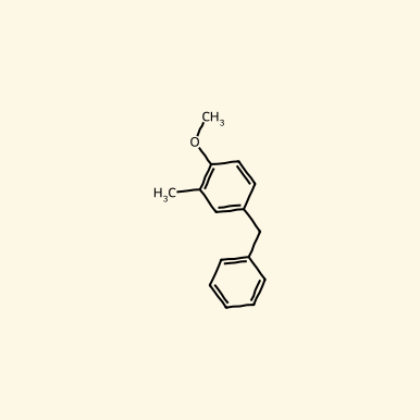 COc1ccc(Cc2ccccc2)cc1C